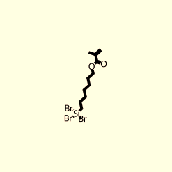 C=C(C)C(=O)OCCCCCCC[Si](Br)(Br)Br